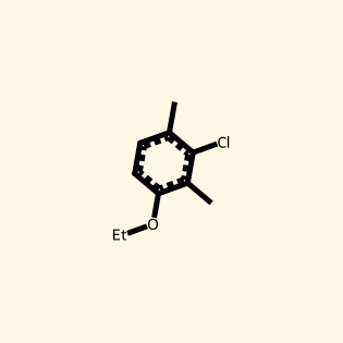 CCOc1ccc(C)c(Cl)c1C